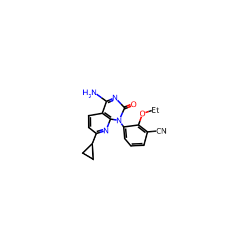 CCOc1c(C#N)cccc1-n1c(=O)nc(N)c2ccc(C3CC3)nc21